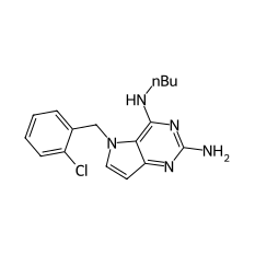 CCCCNc1nc(N)nc2ccn(Cc3ccccc3Cl)c12